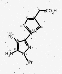 CC(C)n1nc(-c2ncc(CC(=O)O)cn2)c(C#N)c1N